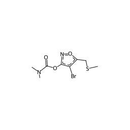 CSCc1onc(OC(=O)N(C)C)c1Br